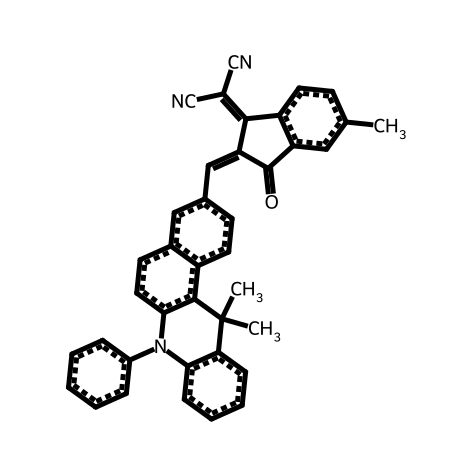 Cc1ccc2c(c1)C(=O)/C(=C\c1ccc3c4c(ccc3c1)N(c1ccccc1)c1ccccc1C4(C)C)C2=C(C#N)C#N